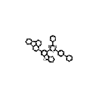 c1ccc(-c2ccc(-c3nc(-c4ccccc4)nc(-c4cc(-c5ccc6c7c(cccc57)-c5ccccc5-6)cc5oc6ccccc6c45)n3)cc2)cc1